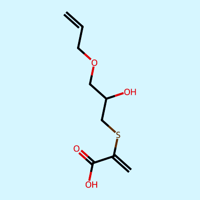 C=CCOCC(O)CSC(=C)C(=O)O